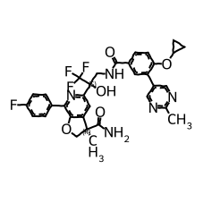 Cc1ncc(-c2cc(C(=O)NC[C@](O)(c3cc4c(c(-c5ccc(F)cc5)n3)OC[C@]4(C)C(N)=O)C(F)(F)F)ccc2OC2CC2)cn1